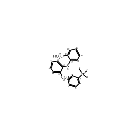 C[N+](C)(C)c1ccccc1.O=C(O)c1ccccc1Sc1ccccc1C(=O)O